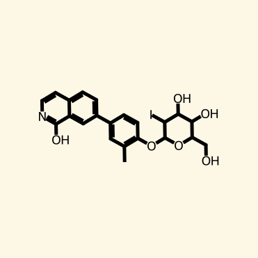 Cc1cc(-c2ccc3ccnc(O)c3c2)ccc1OC1OC(CO)C(O)C(O)C1I